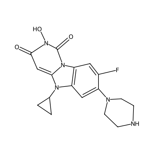 O=c1cc2n(C3CC3)c3cc(N4CCNCC4)c(F)cc3n2c(=O)n1O